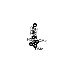 COc1ccc(C(OC[C@@H]2[C@@H](O)C[C@H](n3cnc4c(NC(=O)c5ccccc5)ncnc43)C23CC3)(c2ccccc2)c2ccc(OC)cc2)cc1